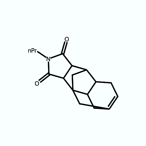 CCCN1C(=O)C2C3CC4(CC5=CCC3C4C5)C2C1=O